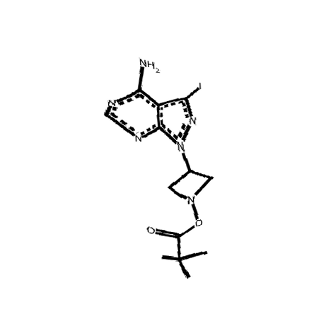 CC(C)(C)C(=O)ON1CC(n2nc(I)c3c(N)ncnc32)C1